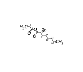 C=CC(=O)OC(=O)CCCCCCC.[Zn]